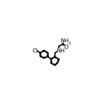 NC(=O)CNCc1ccccc1-c1ccc(Cl)cc1